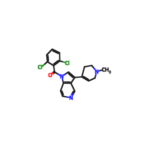 CN1CC=C(c2cn(C(=O)c3c(Cl)cccc3Cl)c3ccncc23)CC1